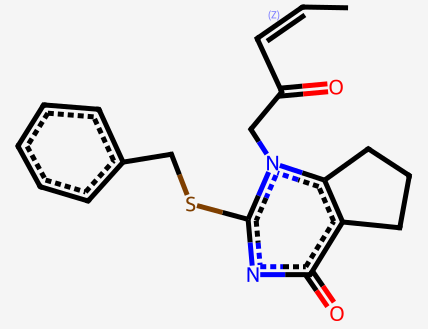 C/C=C\C(=O)Cn1c(SCc2ccccc2)nc(=O)c2c1CCC2